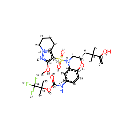 C=C(O)C(C)(C)C[C@H]1CN(S(=O)(=O)c2c(OC)nn3c2CCCC3)c2cc(NC(=O)OC(C)(C)C(F)(F)F)ccc2O1